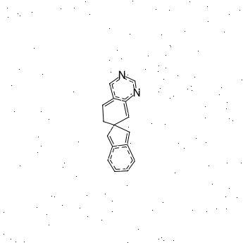 C1=c2ccccc2=CC12C=c1ncncc1=CC2